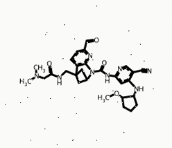 COC1CCCC1Nc1cc(NC(=O)N2c3nc(C=O)ccc3C3(CNC(=O)CN(C)C)CC2C3)ncc1C#N